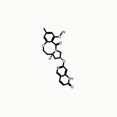 Cc1cc2c(c(OC(C)C)c1)C(=O)N1C[C@@H](Oc3cc4[nH]c(=O)ccc4cn3)C[C@@H]1CCO2